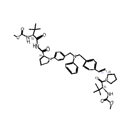 COC(=O)N[C@H](C(=O)NC(=O)[C@@H]1CCCN1c1ccc(CN(Cc2ccc(/C=C/[C@@H]3CCCN3C(=O)[C@@H](NC(=O)OC)C(C)(C)C)cc2)c2ccccc2)cc1)C(C)(C)C